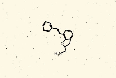 NCC1Cc2cccc(C=Cc3ccccc3)c2O1